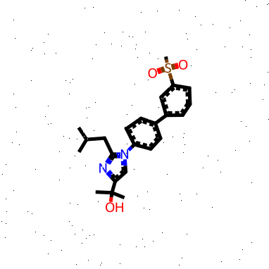 CC(C)Cc1nc(C(C)(C)O)cn1-c1ccc(-c2cccc(S(C)(=O)=O)c2)cc1